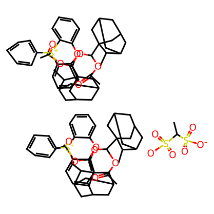 CC(=O)OC(Oc1ccccc1[S+](c1ccccc1)c1ccccc1OC(OC(C)=O)C12CC3CC(CC(C3)C1C)C2)C12CC3CC(CC(C3)C1C)C2.CC(=O)OC(Oc1ccccc1[S+](c1ccccc1)c1ccccc1OC(OC(C)=O)C12CC3CC(CC(C3)C1C)C2)C12CC3CC(CC(C3)C1C)C2.CC(S(=O)(=O)[O-])S(=O)(=O)[O-]